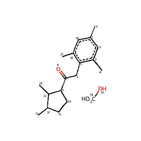 Cc1cc(C)c(CC(=O)C2CCC(C)C2C)c(C)c1.O=C(O)O